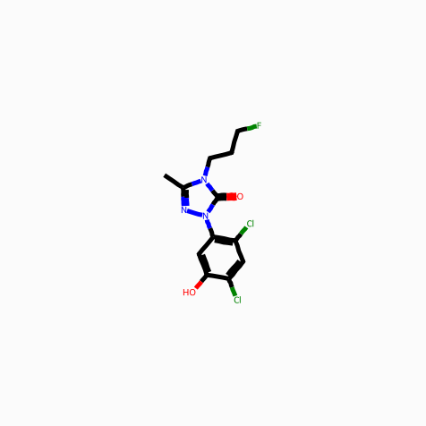 Cc1nn(-c2cc(O)c(Cl)cc2Cl)c(=O)n1CCCF